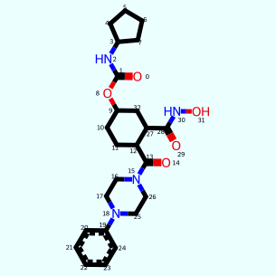 O=C(NC1CCCC1)OC1CCC(C(=O)N2CCN(c3ccccc3)CC2)C(C(=O)NO)C1